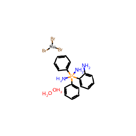 Nc1ccccc1P(N)(N)(c1ccccc1)c1ccccc1.O.O.[Br][Ru]([Br])[Br]